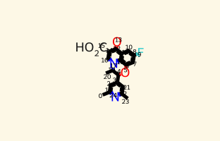 Cc1cc(C2Oc3cc(F)cc4c(=O)c(C(=O)O)cn(c34)C2C)cc(C)n1